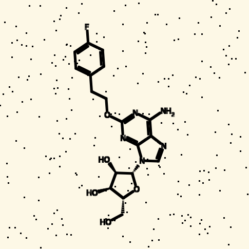 Nc1nc(OCCc2ccc(F)cc2)nc2c1ncn2[C@@H]1O[C@H](CO)[C@@H](O)[C@H]1O